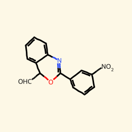 O=CC1OC(c2cccc([N+](=O)[O-])c2)=Nc2ccccc21